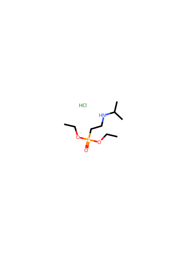 CCOP(=O)(CCNC(C)C)OCC.Cl